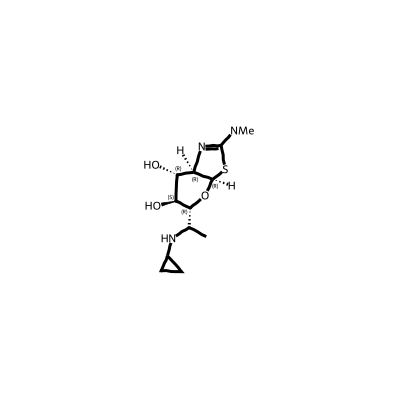 CNC1=N[C@@H]2[C@@H](O)[C@H](O)[C@@H](C(C)NC3CC3)O[C@@H]2S1